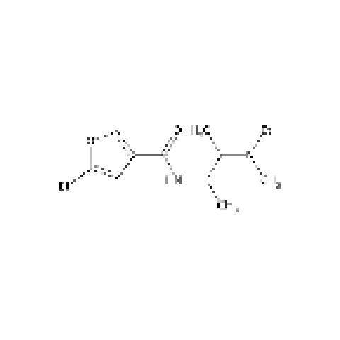 CCc1cc(C(=O)NC(C)C(C)N(C)CC)no1